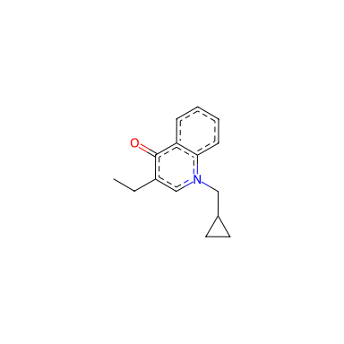 CCc1cn(CC2CC2)c2ccccc2c1=O